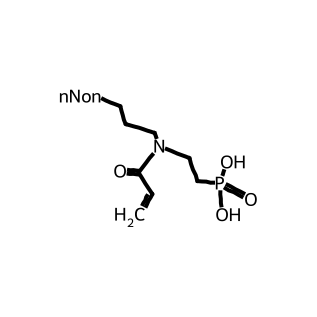 C=CC(=O)N(CCCCCCCCCCCC)CCP(=O)(O)O